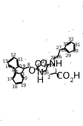 O=C(O)CC[C@H](NC(=O)OCC1c2ccccc2-c2ccccc21)C(=O)NCCCc1ccccc1